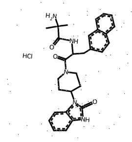 CC(C)(N)C(=O)NC(Cc1ccc2ccccc2c1)C(=O)N1CCC(n2c(=O)[nH]c3ccccc32)CC1.Cl